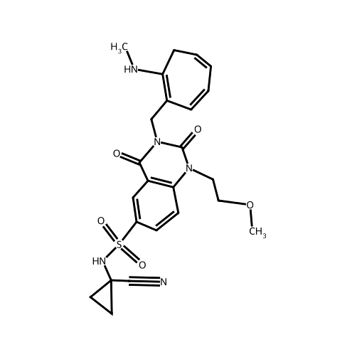 CNC1=C(Cn2c(=O)c3cc(S(=O)(=O)NC4(C#N)CC4)ccc3n(CCOC)c2=O)C=CC=CC1